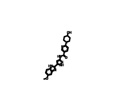 COc1ccc2[nH]c(-c3cc(NC(=O)c4ccc(N5CCC(O)CC5)nc4)n[nH]3)nc2c1